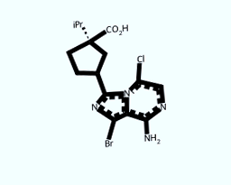 CC(C)[C@@]1(C(=O)O)CCC(c2nc(Br)c3c(N)ncc(Cl)n23)C1